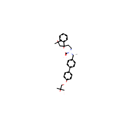 C[C@@H](c1ccc(-c2ccc(OCC(C)(C)O)cc2)cc1)N1CCC(CC(C)(C)O)(c2ccccc2)OC1=O